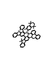 Cc1cc2c(cc1N1B3c4cccc5c4C(Cc4ccccc4-5)c4cc5c(c(c43)-c3cc4c6ccccc6n6c7ccccc7c(c31)c46)C(C)(C)c1ccccc1-5)C(C)(C)CCC2(C)C